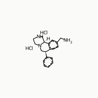 Cl.Cl.NCc1ccc2c(c1)[C@@H]1CNCCN1C[C@@H]2c1ccccc1